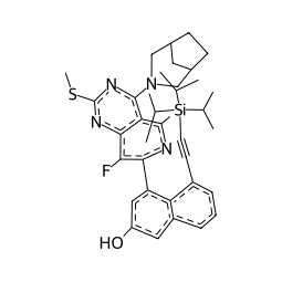 CSc1nc(N2CC3CCC(C3)C2)c2c(C)nc(-c3cc(O)cc4cccc(C#C[Si](C(C)C)(C(C)C)C(C)C)c34)c(F)c2n1